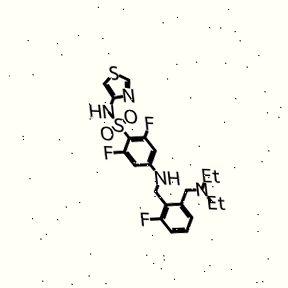 CCN(CC)Cc1cccc(F)c1CNc1cc(F)c(S(=O)(=O)Nc2cscn2)c(F)c1